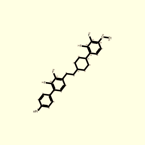 CCCc1ccc(-c2ccc(CCC3CCC(c4ccc(OCC)c(F)c4F)CC3)c(F)c2F)cc1